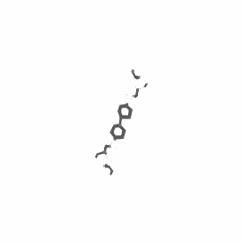 CC(C)CC(=O)NC(CC(C)C)C(=O)Nc1ccc(-c2ccc(NC(=O)[C@H](CC(C)C)NC(=O)CC(C)C)cc2)cc1